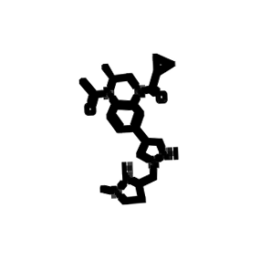 CC(=O)N1c2ccc(C3CNN(CC4CCN(C)N4)C3)cc2N(C(=O)C2CC2)C[C@@H]1C